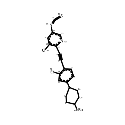 CCCCC1CCC(c2ccc(C#Cc3ncc(N=C=S)cc3Cl)c(CC)c2)CC1